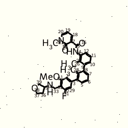 COc1cc(-c2cccc(-c3cccc(NC(=O)c4cccn(C)c4=O)c3C)c2C)cc(F)c1CNC1CCOC1